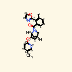 Cc1cccc(C(=O)N2C[C@H]3C[C@@H](Oc4ccc(C(F)(F)F)cn4)[C@@H]2C3)c1-c1ncco1